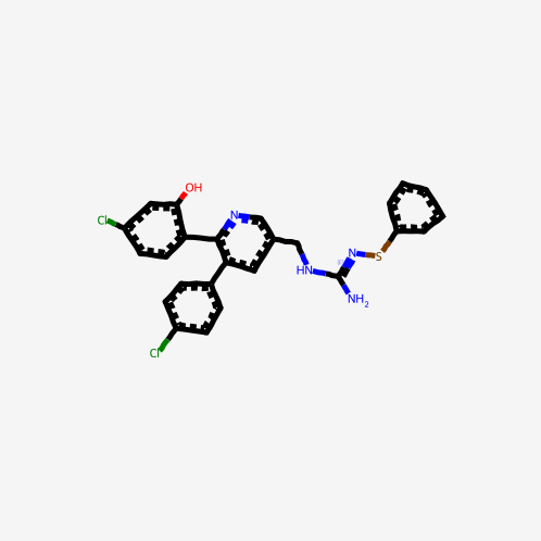 N/C(=N\Sc1ccccc1)NCc1cnc(-c2ccc(Cl)cc2O)c(-c2ccc(Cl)cc2)c1